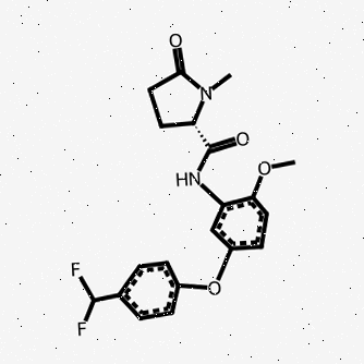 COc1ccc(Oc2ccc(C(F)F)cc2)cc1NC(=O)[C@@H]1CCC(=O)N1C